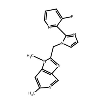 Cc1cc2c(cn1)nc(Cn1ccnc1-c1ncccc1F)n2C